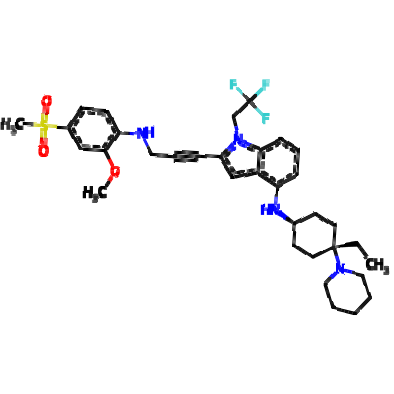 CC[C@]1(N2CCCCC2)CC[C@H](Nc2cccc3c2cc(C#CCNc2ccc(S(C)(=O)=O)cc2OC)n3CC(F)(F)F)CC1